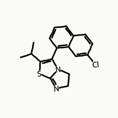 CC(C)C1=C(c2cccc3ccc(Cl)cc23)N2CCN=C2S1